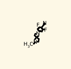 CCN1CCC2(CCN(c3cc(F)c(C#N)c(F)c3)C2)C1